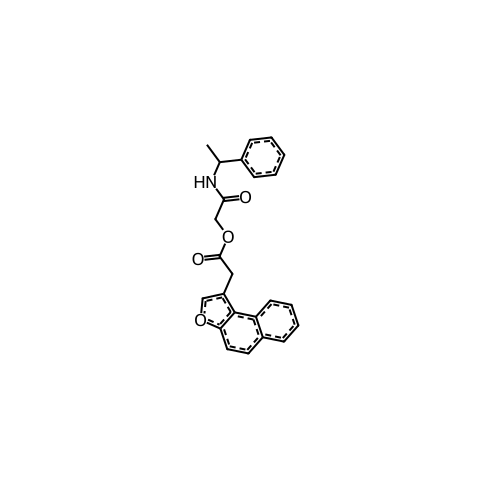 CC(NC(=O)COC(=O)Cc1coc2ccc3ccccc3c12)c1ccccc1